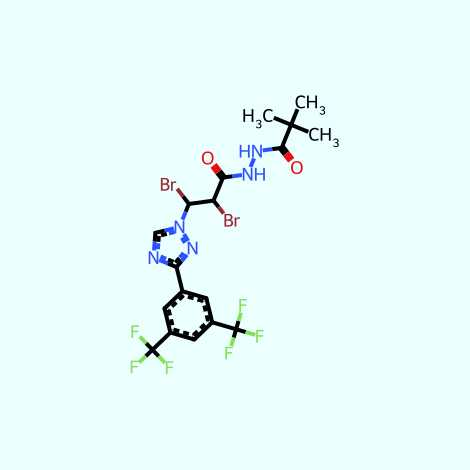 CC(C)(C)C(=O)NNC(=O)C(Br)C(Br)n1cnc(-c2cc(C(F)(F)F)cc(C(F)(F)F)c2)n1